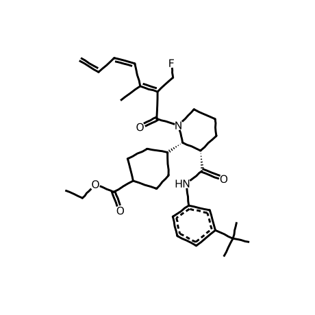 C=C/C=C\C(C)=C(/CF)C(=O)N1CCC[C@H](C(=O)Nc2cccc(C(C)(C)C)c2)[C@@H]1C1CCC(C(=O)OCC)CC1